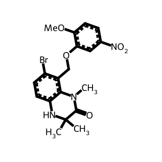 COc1ccc([N+](=O)[O-])cc1OCc1c(Br)ccc2c1N(C)C(=O)C(C)(C)N2